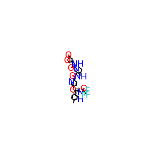 Cc1ccc([C@@H](Oc2ccc(C(=O)N[C@H]3CCCN(C(=O)N[C@H]4COC(=O)C4)C3)nc2)[C@H](C)NC(=O)C(F)(F)F)cc1